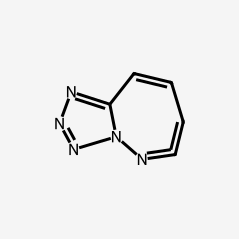 C1=CC=Cc2nnnn2N=1